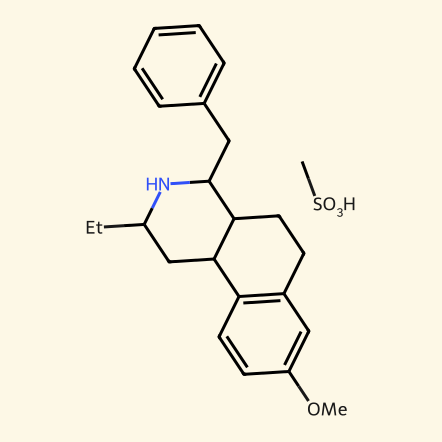 CCC1CC2c3ccc(OC)cc3CCC2C(Cc2ccccc2)N1.CS(=O)(=O)O